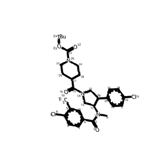 CN(C(=O)c1ccc(Cl)c(C(F)(F)F)c1)C1CN(C(=O)C2CCN(C(=O)OC(C)(C)C)CC2)CC1c1ccc(Cl)cc1